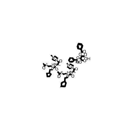 CC(=O)SCCN(CCC1CCCC1)C(=O)N[C@@H](C)C(=O)N1CCN(C)CC1.CC(=O)SCCN(CCC1CCCC1)C(=O)N[C@@H](C)C(=O)N1CCN(C)CC1.O=C(O[C@@H](C(=O)O)[C@@H](OC(=O)c1ccccc1)C(=O)O)c1ccccc1